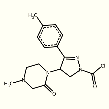 Cc1ccc(C2=NN(C(=O)Cl)CC2N2CCN(C)CC2=O)cc1